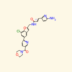 Nc1ccc(/C=C/C(=O)NCc2cc3cc(-c4ccc(C(=O)N5CCOCC5)cn4)cc(Cl)c3o2)cn1